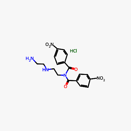 Cl.NCCNCCN(C(=O)c1ccc([N+](=O)[O-])cc1)C(=O)c1ccc([N+](=O)[O-])cc1